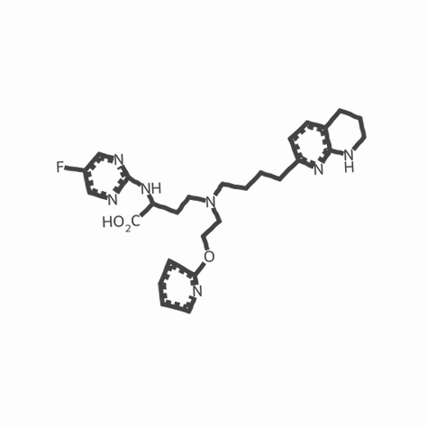 O=C(O)C(CCN(CCCCc1ccc2c(n1)NCCC2)CCOc1ccccn1)Nc1ncc(F)cn1